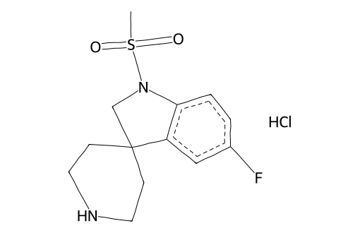 CS(=O)(=O)N1CC2(CCNCC2)c2cc(F)ccc21.Cl